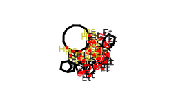 CCO[Si](OCC)(OCC)C1(S(S)(SS)C2CCCCCCCCCC(S(S)(SS)C3([Si](OCC)(OCC)OCC)CC4CCC3(CC)C4)(S(S)(SS)C3([Si](OCC)(OCC)OCC)CC4CCC3(CC)C4)C2(S(S)(SS)C2([Si](OCC)(OCC)OCC)CC3CCC2(CC)C3)S(S)(SS)C2([Si](OCC)(OCC)OCC)CC3CCC2(CC)C3)CC2CCC1(CC)C2